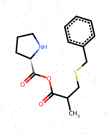 CC(CSCc1ccccc1)C(=O)OC(=O)[C@@H]1CCCN1